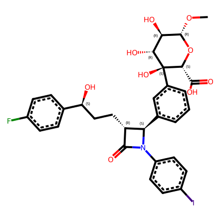 CO[C@@H]1O[C@H](C(=O)O)[C@](O)(c2cccc([C@@H]3[C@@H](CC[C@H](O)c4ccc(F)cc4)C(=O)N3c3ccc(I)cc3)c2)[C@H](O)[C@H]1O